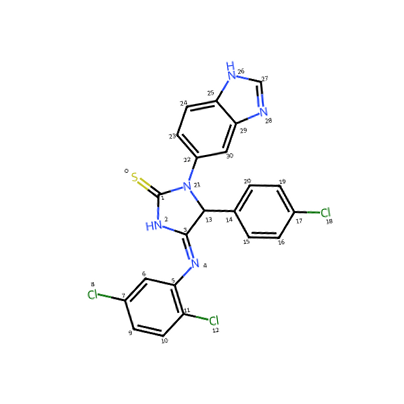 S=C1NC(=Nc2cc(Cl)ccc2Cl)C(c2ccc(Cl)cc2)N1c1ccc2[nH]cnc2c1